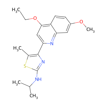 CCOc1cc(-c2nc(NC(C)C)sc2C)nc2cc(OC)ccc12